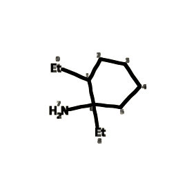 CCC1CCCCC1(N)CC